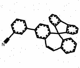 N#Cc1cccc(-c2ccc3c(c2)C=Cc2ccccc2C32c3ccccc3-c3ccccc32)c1